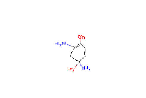 NC1=C(O)C=CC(N)(O)C1